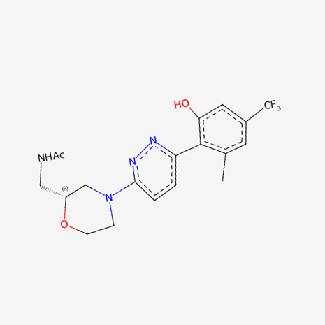 CC(=O)NC[C@@H]1CN(c2ccc(-c3c(C)cc(C(F)(F)F)cc3O)nn2)CCO1